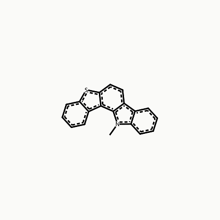 Cn1c2ccccc2c2ccc3sc4ccccc4c3c21